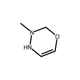 CN1COC=CN1